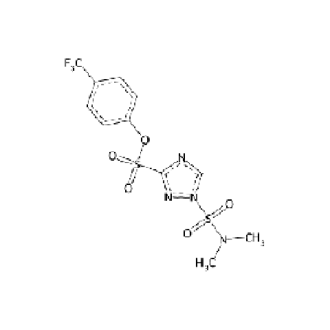 CN(C)S(=O)(=O)n1cnc(S(=O)(=O)Oc2ccc(C(F)(F)F)cc2)n1